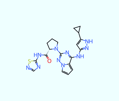 O=C(Nc1ncns1)[C@@H]1CCCN1c1nc(Nc2cc(C3CC3)[nH]n2)c2cccn2n1